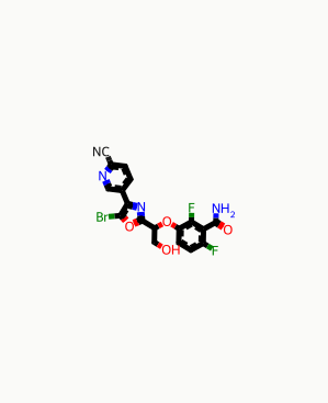 N#Cc1ccc(-c2nc(C(CO)Oc3ccc(F)c(C(N)=O)c3F)oc2Br)cn1